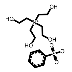 O=S(=O)([O-])c1ccccc1.OCC[N+](CCO)(CCO)CCO